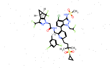 CC(C)(CCc1ccc(-c2ccc(Cl)c3c(NS(C)(=O)=O)nn(CC(F)F)c23)c([C@H](Cc2cc(F)cc(F)c2)NC(=O)Cn2nc(C(F)F)c3c2C(F)(F)[C@@H]2C[C@H]32)n1)S(=O)(=O)C1CC1